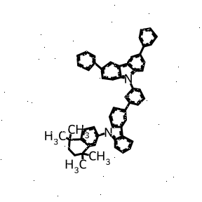 CC1(C)CCC(C)(C)c2cc(-n3c4ccccc4c4cc(-c5cccc(-n6c7ccc(-c8ccccc8)cc7c7cc(-c8ccccc8)ccc76)c5)ccc43)ccc21